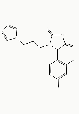 O=C1NC(=O)N(CCCn2ccnc2)C1c1ccc(F)cc1Br